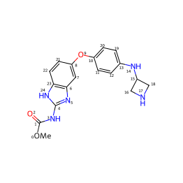 COC(=O)Nc1nc2cc(Oc3ccc(NC4CNC4)cc3)ccc2[nH]1